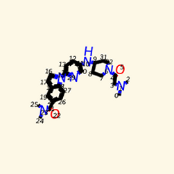 CN(C)CC(=O)N1CCC(Nc2ccc(-n3ccc4cc(C(=O)N(C)C)ccc43)nc2)CC1